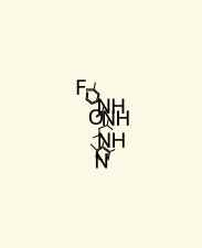 Cc1cc(NC(=O)NC(C)CC(C)Nc2c(C)cncc2C)ccc1F